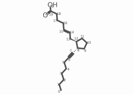 CCCCCCC#C[C@H]1CCC[C@@H]1CC=CCCCC(=O)O